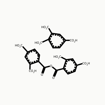 O=C(O)c1ccc(C(=O)O)c(C(=O)O)c1.O=C(O)c1ccc(C(=O)OC(=O)c2ccc(C(=O)O)cc2C(=O)O)c(C(=O)O)c1